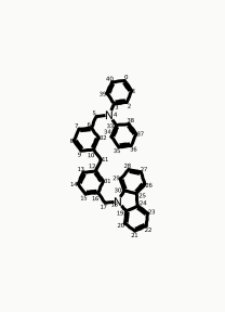 c1ccc(N(Cc2cccc(Cc3cccc(Cn4c5ccccc5c5ccccc54)c3)c2)c2ccccc2)cc1